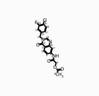 CC(=O)OCC(=O)Nc1ccc2c(=O)n(Cc3ccc(Cl)c(F)c3)cnc2c1